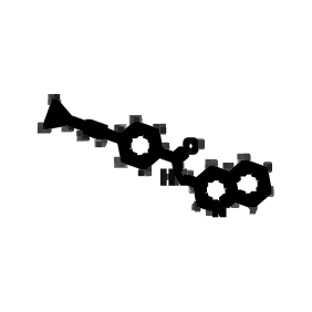 O=C(Nc1cnc2ccccc2c1)c1ccc(C#CC2CC2)cc1